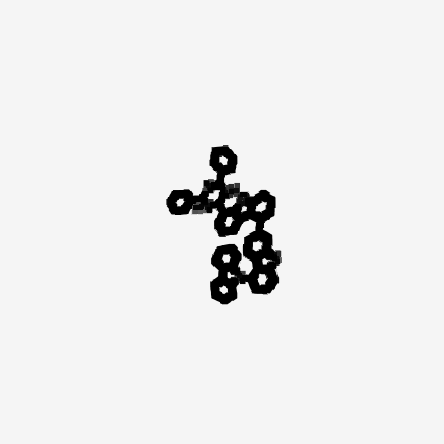 c1ccc(C2=NC(c3ccccc3)NC(c3cccc4c3oc3cccc(-c5ccc6c(c5)sc5cccc(-n7c8ccccc8c8ccccc87)c56)c34)N2)cc1